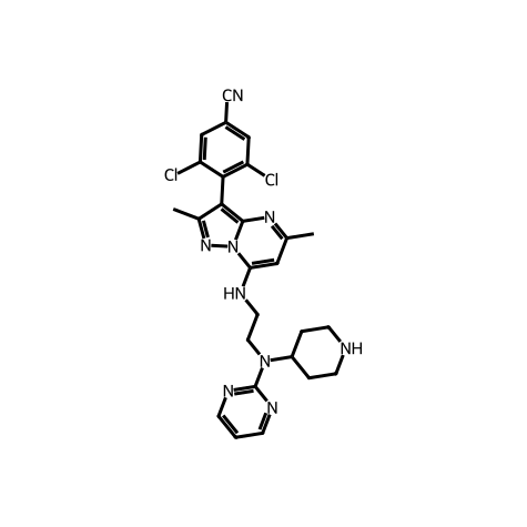 Cc1cc(NCCN(c2ncccn2)C2CCNCC2)n2nc(C)c(-c3c(Cl)cc(C#N)cc3Cl)c2n1